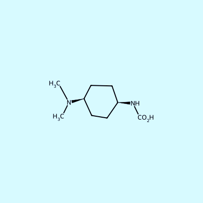 CN(C)[C@H]1CC[C@@H](NC(=O)O)CC1